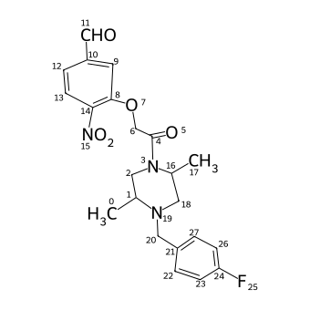 CC1CN(C(=O)COc2cc(C=O)ccc2[N+](=O)[O-])C(C)CN1Cc1ccc(F)cc1